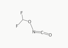 O=C=NOC(F)F